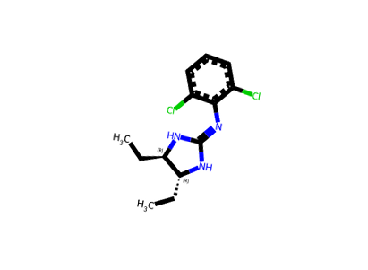 CC[C@H]1NC(=Nc2c(Cl)cccc2Cl)N[C@@H]1CC